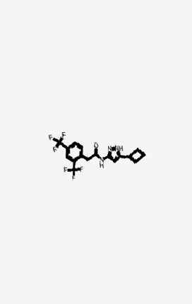 O=C(Cc1ccc(C(F)(F)F)cc1C(F)(F)F)Nc1cc(C2CCC2)[nH]n1